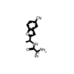 CC(NC(=O)[C@@H](N)C(C)C)c1cc2cc(C#N)ccc2o1